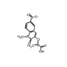 C[C@@H](Oc1cc2cc([N+](=O)[O-])ccc2n(C)c1=O)C(=O)O